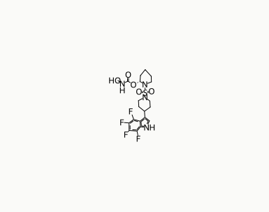 O=C(NO)O[C@@H]1CCCCN1S(=O)(=O)N1CCC(c2c[nH]c3c(F)c(F)c(F)c(F)c23)CC1